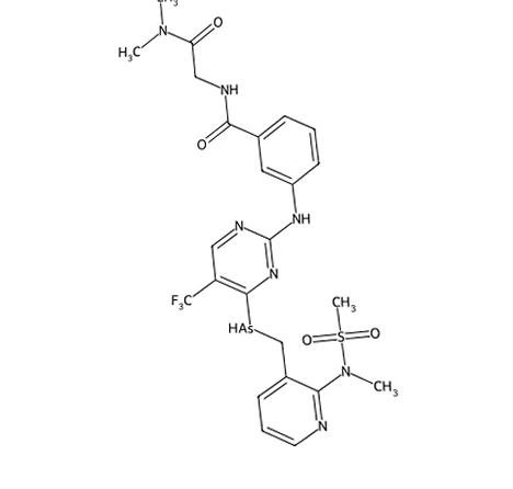 CN(C)C(=O)CNC(=O)c1cccc(Nc2ncc(C(F)(F)F)c([AsH]Cc3cccnc3N(C)S(C)(=O)=O)n2)c1